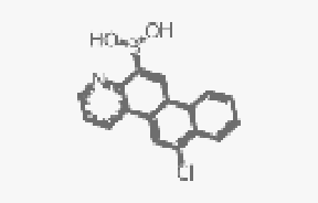 OB(O)C1=CC2C(=CC(Cl)=C3C=CC=CC32)c2cccnc21